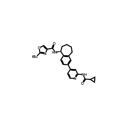 CC(C)(C)c1nc(C(=O)N[C@H]2CCCCc3cc(-c4ccnc(NC(=O)C5CC5)c4)ccc32)co1